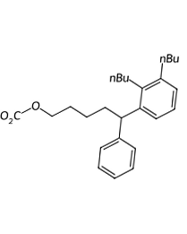 CCCCc1cccc(C(CCCCOC(=O)O)c2ccccc2)c1CCCC